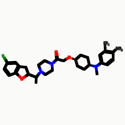 CC(C1Cc2cc(F)ccc2O1)N1CCN(C(=O)CO[C@H]2CC[C@H](N(C)c3ccc([N+](=O)[O-])c(C(F)(F)F)c3)CC2)CC1